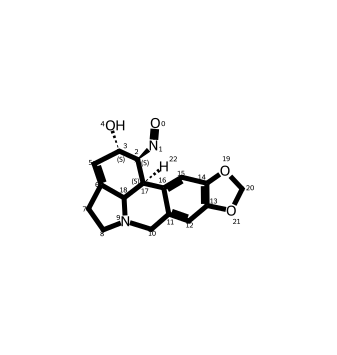 O=N[C@@H]1[C@@H](O)C=C2CCN3Cc4cc5c(cc4[C@H]1C23)OCO5